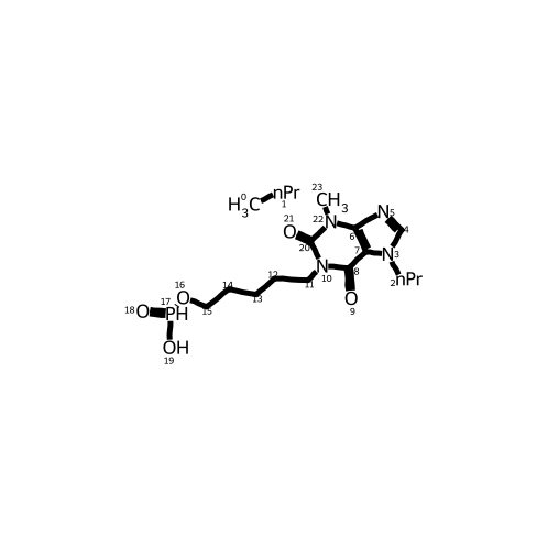 CCCC.CCCn1cnc2c1c(=O)n(CCCCCO[PH](=O)O)c(=O)n2C